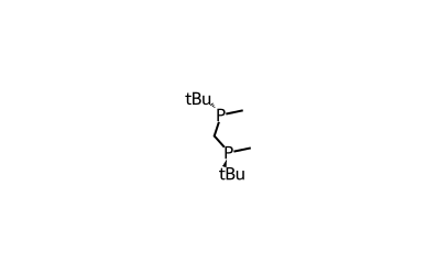 C[P@](C[P@@](C)C(C)(C)C)C(C)(C)C